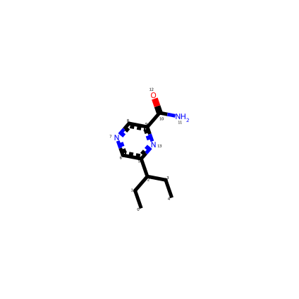 CCC(CC)c1cncc(C(N)=O)n1